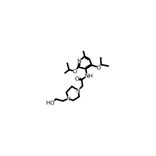 Cc1cc(OC(C)C)c(NC(=O)CN2CCN(CCO)CC2)c(OC(C)C)n1